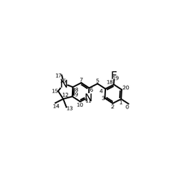 Cc1ccc(Cc2cc3c(cn2)C(C)(C)CN3C)c(F)c1